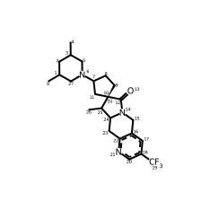 CC1CC(C)CN(C2CC[C@@]3(C2)C(=O)N2Cc4cc(C(F)(F)F)cnc4CC2C3C)C1